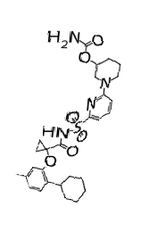 Cc1ccc(C2CCCCC2)c(OC2(C(=O)NS(=O)(=O)c3cccc(N4CCCC(OC(N)=O)C4)n3)CC2)c1